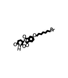 O=C1CCC(N2C(=O)c3ccc(OCCCCCCCBr)cc3C2=O)C(=O)N1